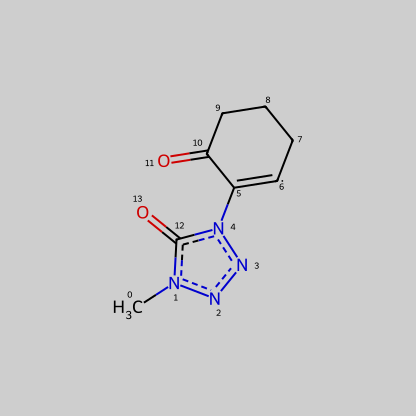 Cn1nnn(C2=[C]CCCC2=O)c1=O